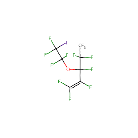 FC(F)=C(F)C(F)(OC(F)(F)C(F)(F)I)C(F)(F)C(F)(F)F